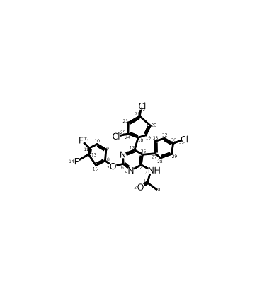 CC(=O)Nc1nc(Oc2ccc(F)c(F)c2)nc(-c2ccc(Cl)cc2Cl)c1-c1ccc(Cl)cc1